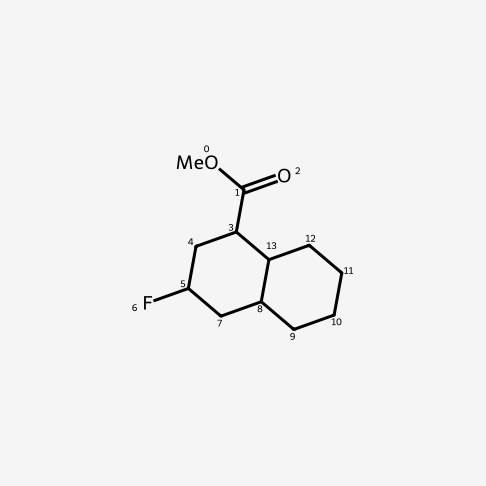 COC(=O)C1CC(F)CC2CCCCC21